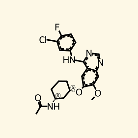 COc1cc2ncnc(Nc3ccc(F)c(Cl)c3)c2cc1O[C@H]1CCC[C@@H](NC(C)=O)C1